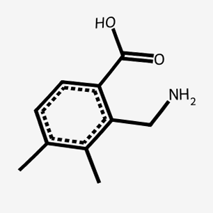 Cc1ccc(C(=O)O)c(CN)c1C